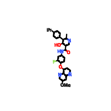 COc1cnc2c(Oc3ccc(NC(=O)c4cnc(C)c(-c5ccc(C(C)C)cc5)c4O)cc3F)ccnc2c1